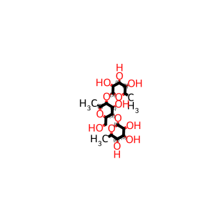 CC1O[C@@H](OC2[C@H](C)OC(CO)[C@@H](O[C@@H]3OC(C)[C@H](O)[C@H](O)C3O)[C@@H]2O)C(O)[C@@H](O)[C@H]1O